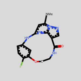 CNc1cc2nc3c(cnn13)C(=O)NCCOc1cc(ccc1F)N2